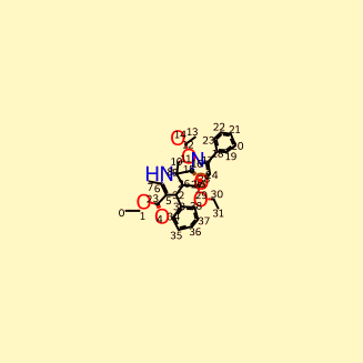 CCOC(=O)C1=C(C)NC(COC(C)=O)(c2nc(-c3ccccc3)cs2)C(C(=O)OCC)C1c1ccccc1